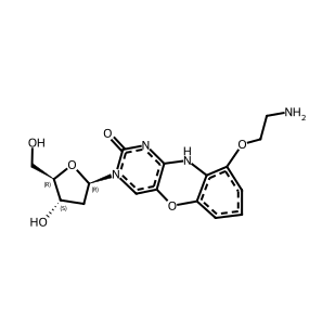 NCCOc1cccc2c1Nc1nc(=O)n([C@H]3C[C@H](O)[C@@H](CO)O3)cc1O2